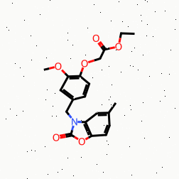 CCOC(=O)COc1ccc(Cn2c(=O)oc3ccc(C)cc32)cc1OC